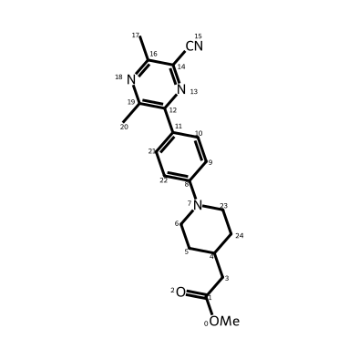 COC(=O)CC1CCN(c2ccc(-c3nc(C#N)c(C)nc3C)cc2)CC1